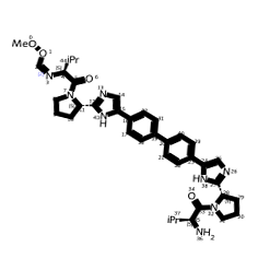 COO/C=N\[C@H](C(=O)N1CCC[C@H]1c1ncc(-c2ccc(-c3ccc(-c4cnc([C@@H]5CCCN5C(=O)[C@@H](N)C(C)C)[nH]4)cc3)cc2)[nH]1)C(C)C